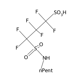 CCCCCNS(=O)(=O)C(F)(F)C(F)(F)C(F)(F)S(=O)(=O)O